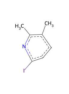 Cc1ccc(I)nc1C